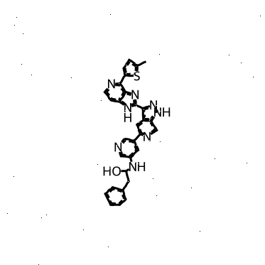 Cc1ccc(-c2nccc3[nH]c(-c4n[nH]c5cnc(-c6cncc(NC(O)Cc7ccccc7)c6)cc45)nc23)s1